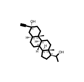 C#C[C@@]1(O)CC[C@@]2(C)[C@@H](CC[C@@H]3[C@@H]2CC[C@]2(C)[C@@H](C(C)O)CC[C@@H]32)C1